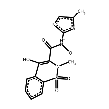 Cc1cnc([NH+]([O-])C(=O)C2=C(O)c3ccccc3S(=O)(=O)N2C)s1